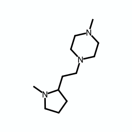 CN1CCN(CCC2CCCN2C)CC1